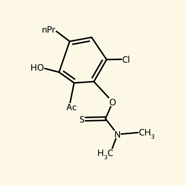 CCCc1cc(Cl)c(OC(=S)N(C)C)c(C(C)=O)c1O